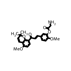 COc1ccc(C=CC(=O)c2ccc(OC)c3c2OC(C)(C)C=C3)cc1OC(=O)CN